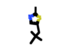 Cc1ncc(CC(C)(C)C)s1